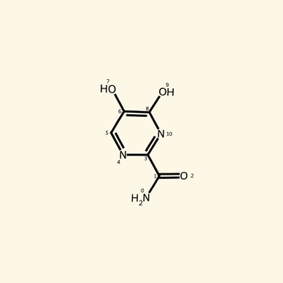 NC(=O)c1ncc(O)c(O)n1